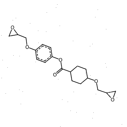 O=C(Oc1ccc(OCC2CO2)cc1)C1CCC(OCC2CO2)CC1